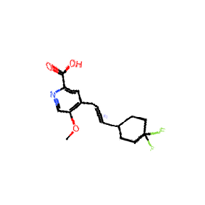 COc1cnc(C(=O)O)cc1/C=C/C1CCC(F)(F)CC1